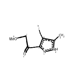 COCC(=O)c1n[nH]c(C)c1I